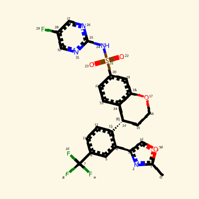 Cc1nc(-c2cc(C(F)(F)F)ccc2[C@H]2CCOc3cc(S(=O)(=O)Nc4ncc(F)cn4)ccc32)co1